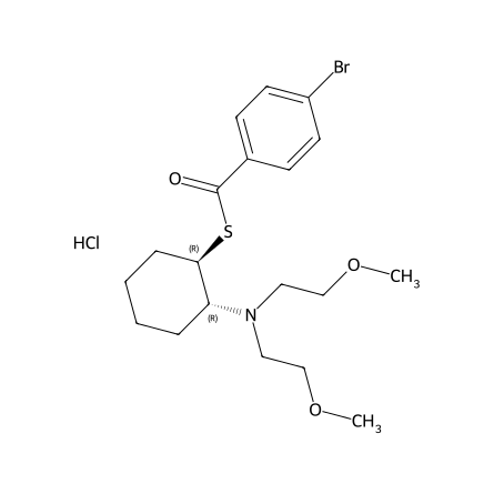 COCCN(CCOC)[C@@H]1CCCC[C@H]1SC(=O)c1ccc(Br)cc1.Cl